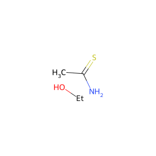 CC(N)=S.CCO